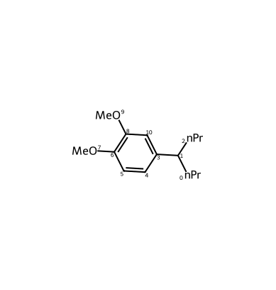 CCCC(CCC)c1ccc(OC)c(OC)c1